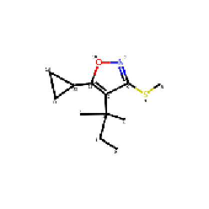 CCC(C)(C)c1c(SC)noc1C1CC1